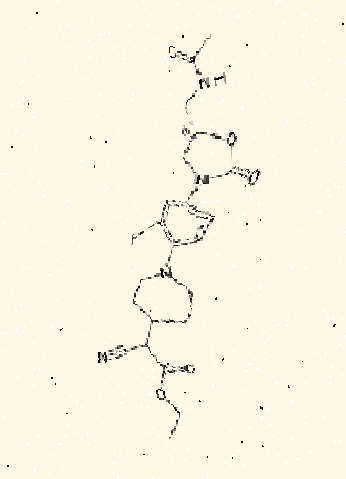 CCOC(=O)C(C#N)C1CCN(c2ccc(N3C[C@H](CNC(C)=O)OC3=O)cc2F)CC1